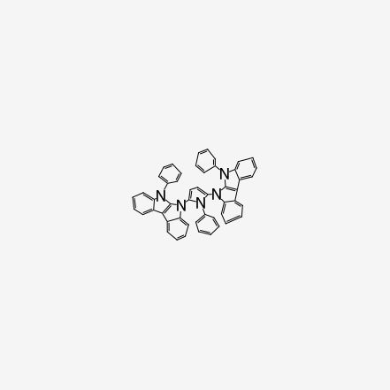 c1ccc(-n2c(-n3c4ccccc4c4c5ccccc5n(-c5ccccc5)c43)ccc2-n2c3ccccc3c3c4ccccc4n(-c4ccccc4)c32)cc1